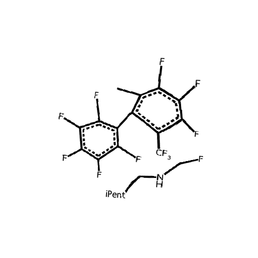 CCCC(C)CNCF.Cc1c(F)c(F)c(F)c(C(F)(F)F)c1-c1c(F)c(F)c(F)c(F)c1F